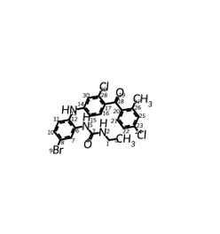 CCNC(=O)Nc1cc(Br)ccc1Nc1ccc(C(=O)c2ccc(Cl)cc2C)c(Cl)c1